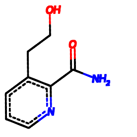 NC(=O)c1ncccc1CCO